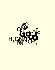 Cc1c(C(C)Nc2nc3nnc(C)n3c3c2CN(C(=O)N2CCOCC2)C3)cccc1C(F)(F)F